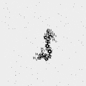 CC[C@H](C)[C@H](NC(=O)OC)C(=O)N1CCC[C@H]1c1cnc(-c2ccc3c(c2)Oc2ccc(-c4cnc([C@@H]5CCCN5C(=O)[C@@H](NC(=O)OC)[C@@H](C)CC)o4)cc2O3)o1